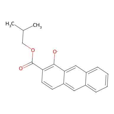 CC(C)COC(=O)c1ccc2cc3ccccc3cc2c1[O]